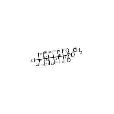 [CH2]OS(=O)(=O)C(I)(I)C(I)(I)C(I)(I)C(I)(I)C(I)(I)C(I)(I)I